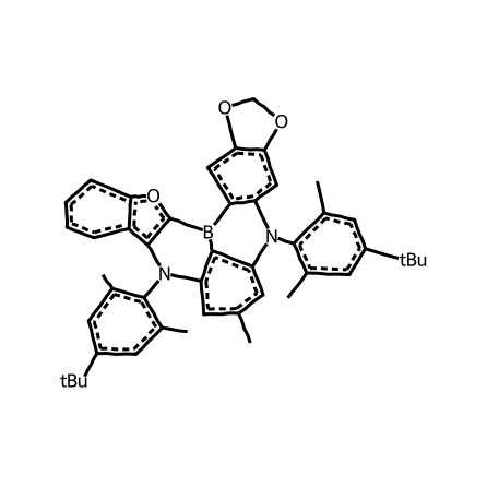 Cc1cc2c3c(c1)N(c1c(C)cc(C(C)(C)C)cc1C)c1c(oc4ccccc14)B3c1cc3c(cc1N2c1c(C)cc(C(C)(C)C)cc1C)OCO3